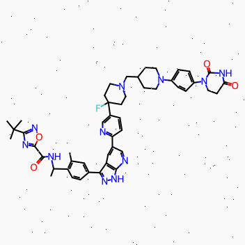 Cc1cc(-c2n[nH]c3ncc(-c4ccc(C5(F)CCN(CC6CCN(c7ccc(N8CCC(=O)NC8=O)cc7)CC6)CC5)cn4)cc23)ccc1C(C)NC(=O)c1nc(C(C)(C)C)no1